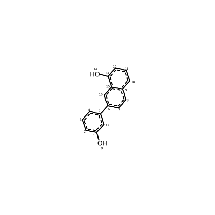 Oc1cccc(-c2ccc3cccc(O)c3c2)c1